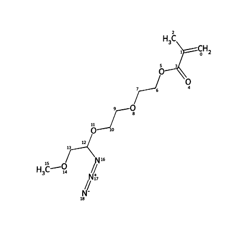 C=C(C)C(=O)OCCOCCOC(COC)N=[N+]=[N-]